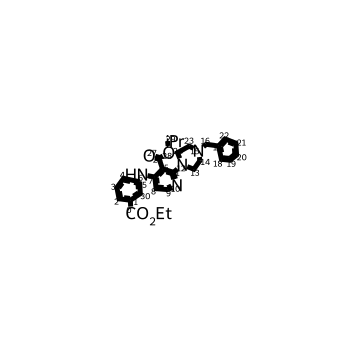 CCOC(=O)c1cccc(Nc2ccnc(N3CCN(Cc4ccccc4)CC3)c2C(=O)OC(C)C)c1